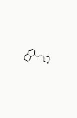 O=C1[CH]C(=O)C(CCc2cccc3ccccc23)C1=O